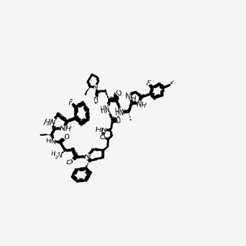 C[C@H](NC(=O)[C@H](CC(=O)N1CCCC[C@@H]1C)NC(=O)C1CC(CC2C[C@H](c3ccccc3)N(C(=O)C[C@H](N)C(=O)N[C@@H](C)C3NCC(c4ccccc4F)N3)C2)ON1)C1NCC(c2ccc(F)cc2F)N1